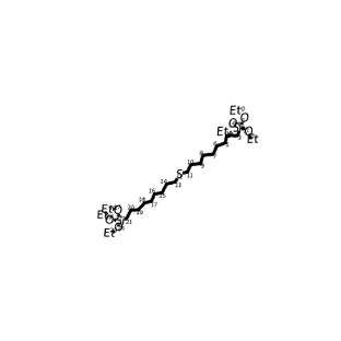 CCO[Si](CCCCCCCCCSCCCCCCCCC[Si](OCC)(OCC)OCC)(OCC)OCC